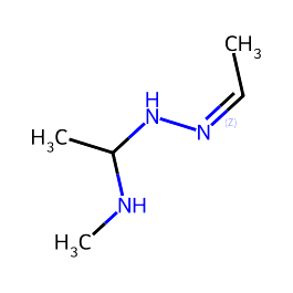 C/C=N\NC(C)NC